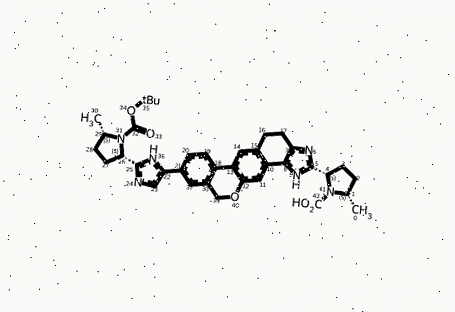 C[C@H]1CC[C@@H](c2nc3c([nH]2)-c2cc4c(cc2CC3)-c2ccc(-c3cnc([C@@H]5CC[C@H](C)N5C(=O)OC(C)(C)C)[nH]3)cc2CO4)N1C(=O)O